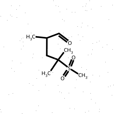 CC(C=O)CC(C)(C)S(C)(=O)=O